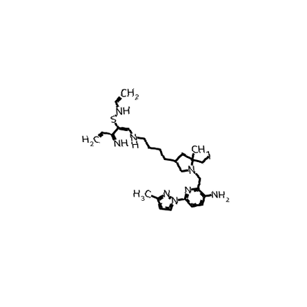 C=CNS/C(=C/NCCCCC1CN(Cc2nc(-n3ccc(C)n3)ccc2N)C(C)(CI)C1)C(=N)C=C